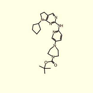 CC(C)(C)OC(=O)N1CCN(c2ccc(Nc3ncc4c(n3)N(C3CCCC3)CC4)nc2)CC1